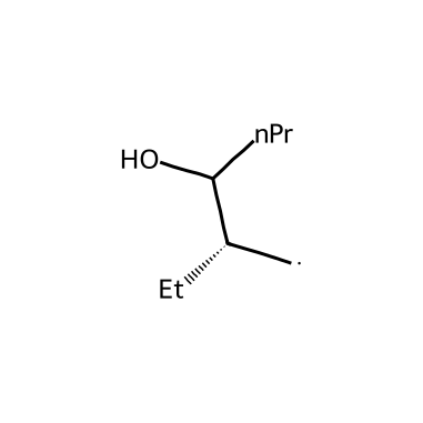 [CH2][C@H](CC)C(O)CCC